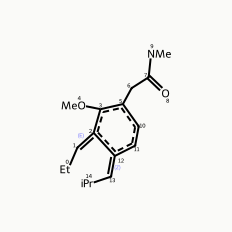 CC/C=c1/c(OC)c(CC(=O)NC)cc/c1=C/C(C)C